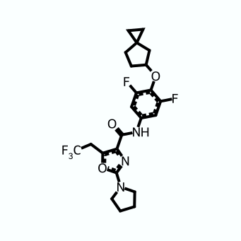 O=C(Nc1cc(F)c(OC2CCC3(CC3)C2)c(F)c1)c1nc(N2CCCC2)oc1CC(F)(F)F